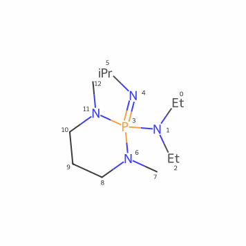 CCN(CC)P1(=NC(C)C)N(C)CCCN1C